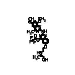 COc1cc(OC)c2nc(Nc3nc(OC(=O)C(F)(F)F)c4cc(OCCNC(C)CO)ccc4n3)nc(C)c2c1